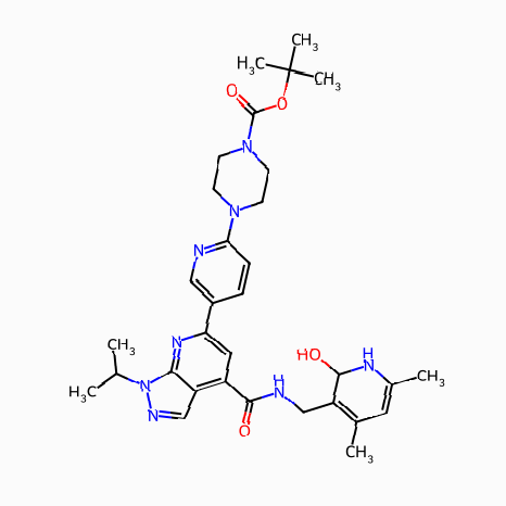 CC1=CC(C)=C(CNC(=O)c2cc(-c3ccc(N4CCN(C(=O)OC(C)(C)C)CC4)nc3)nc3c2cnn3C(C)C)C(O)N1